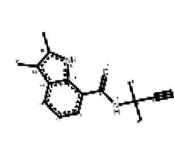 C#CC(C)(C)NC(=O)c1cccc2c(C)c(C)[nH]c12